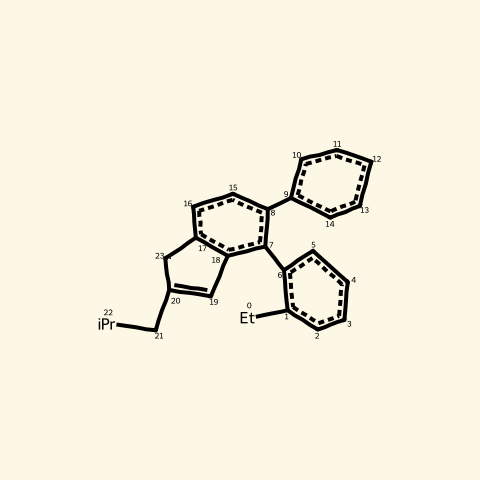 CCc1ccccc1-c1c(-c2ccccc2)ccc2c1C=C(CC(C)C)[CH]2